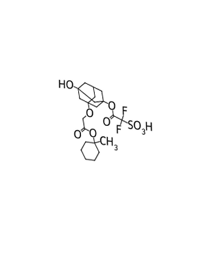 CC1(OC(=O)COC23CC4CC(O)(C2)CC(OC(=O)C(F)(F)S(=O)(=O)O)(C4)C3)CCCCC1